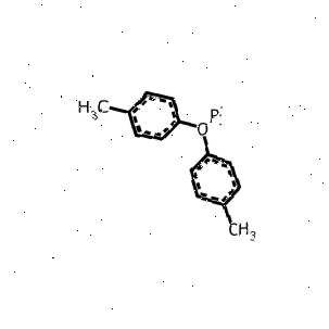 Cc1ccc(Oc2ccc(C)cc2)cc1.[P]